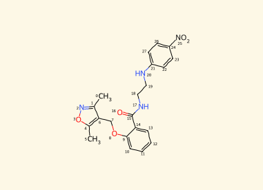 Cc1noc(C)c1COc1ccccc1C(=O)NCCNc1ccc([N+](=O)[O-])cc1